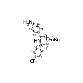 CCCCOC(C)[C@@H](NC(=O)c1ccc(N)cc1)c1ccc(Cl)cc1